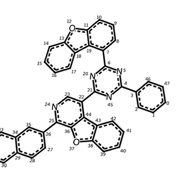 c1ccc(-c2nc(-c3cccc4oc5ccccc5c34)nc(-c3cnc(-c4ccc5ccccc5c4)c4oc5ccccc5c34)n2)cc1